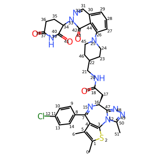 Cc1sc2c(c1C)C(c1ccc(Cl)cc1)=N[C@@H](CC(=O)NCC1CCN(c3cccc4cnn(C5CCC(=O)NC5=O)c(=O)c34)CC1)c1nnc(C)n1-2